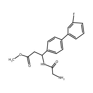 COC(=O)CC(NC(=O)CN)c1ccc(-c2cccc(F)c2)cc1